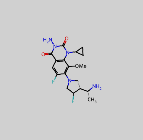 COc1c(N2C[C@H]([C@@H](C)N)[C@@H](F)C2)c(F)cc2c(=O)n(N)c(=O)n(C3CC3)c12